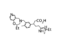 CCP/C=C(\N)CCC(CC(=O)O)c1ccc(C)c(CN2Cc3cnccc3O[C@H](CC)C2)c1